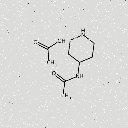 CC(=O)NC1CCNCC1.CC(=O)O